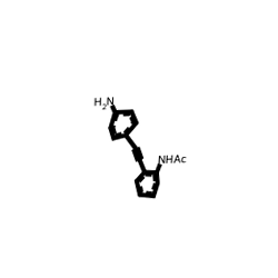 CC(=O)Nc1ccccc1C#Cc1ccc(N)cc1